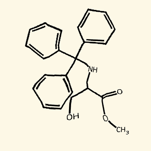 COC(=O)C(CO)NC(c1ccccc1)(c1ccccc1)c1ccccc1